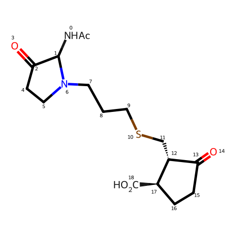 CC(=O)NC1C(=O)CCN1CCCSC[C@@H]1C(=O)CC[C@H]1C(=O)O